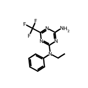 CCN(c1ccccc1)c1nc(N)nc(C(F)(F)F)n1